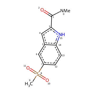 CNC(=O)c1cc2cc(S(C)(=O)=O)ccc2[nH]1